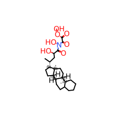 CC(CC(O)C(=O)N(O)C(=O)C(=O)OO)[C@H]1CC[C@H]2[C@@H]3CCC4CCCC[C@]4(C)[C@H]3CC[C@]12C